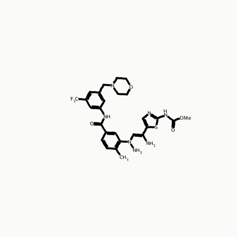 COC(=O)Nc1ncc(/C(N)=C/N(N)c2cc(C(=O)Nc3cc(CN4CCOCC4)cc(C(F)(F)F)c3)ccc2C)s1